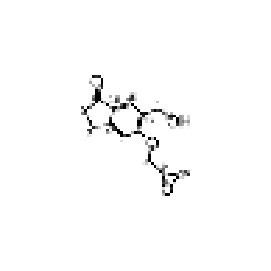 O=C1CCc2cc(OCC3CO3)c(CO)cc21